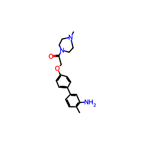 Cc1ccc(-c2ccc(OCC(=O)N3CCN(C)CC3)cc2)cc1N